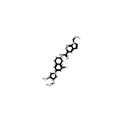 CCn1ccc2cc(C(=O)N[C@H]3CCc4cc(N5C[C@H](OC)[C@@H](N)C5)cc(F)c4C3)nnc21